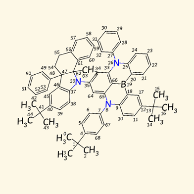 CC(C)(C)c1ccc(N2c3ccc(C(C)(C)C)cc3B3c4ccccc4N(c4ccccc4)c4cc(N5c6ccc(C(C)(C)C)cc6C6(c7ccccc7)CCc7ccccc7C56C)cc2c43)cc1